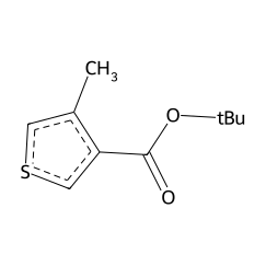 Cc1cscc1C(=O)OC(C)(C)C